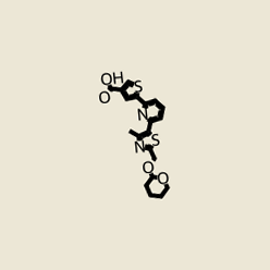 Cc1nc(COC2CCCCO2)sc1-c1cccc(-c2cc(C(=O)O)cs2)n1